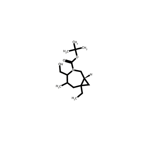 CCC12CC(C)C(CO)N(C(=O)OC(C)(C)C)C[C@@H]1C2